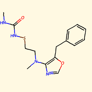 CNC(=O)NSCCN(C)c1ncoc1Cc1ccccc1